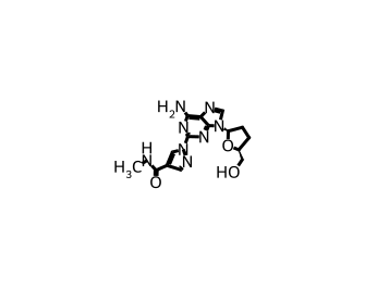 CNC(=O)c1cnn(-c2nc(N)c3ncn([C@H]4CC[C@@H](CO)O4)c3n2)c1